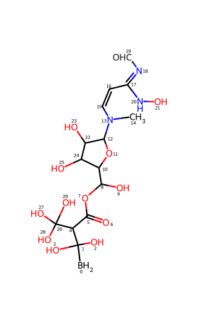 BC(O)(O)C(C(=O)OC(O)C1OC(N(C)/C=C\C(=N/C=O)NO)C(O)C1O)C(O)(O)O